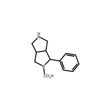 O=C(O)N1CC2CNCC2C1c1ccccc1